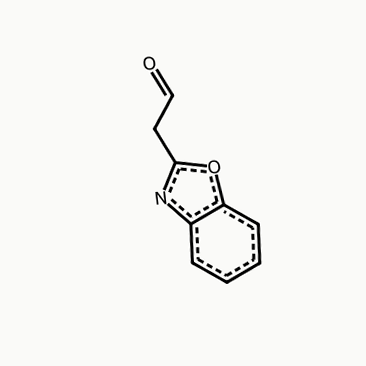 O=CCc1nc2ccccc2o1